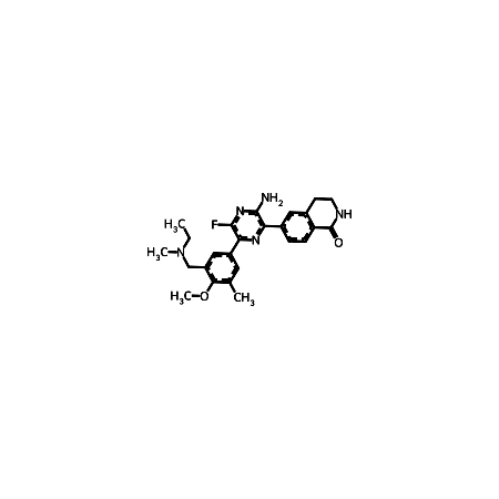 CCN(C)Cc1cc(-c2nc(-c3ccc4c(c3)CCNC4=O)c(N)nc2F)cc(C)c1OC